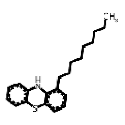 CCCCCCCCCc1cccc2c1Nc1ccccc1S2